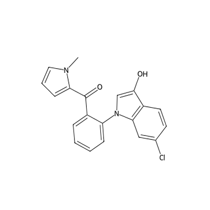 Cn1cccc1C(=O)c1ccccc1-n1cc(O)c2ccc(Cl)cc21